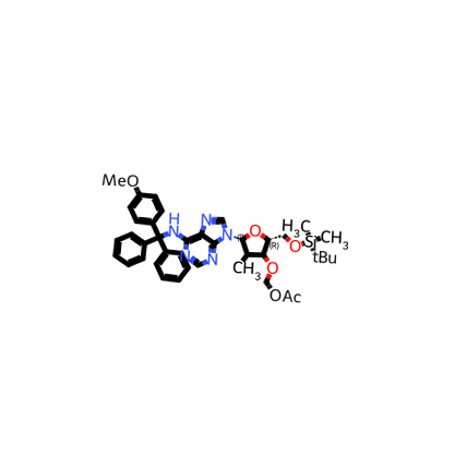 COc1ccc(C(Nc2ncnc3c2ncn3[C@@H]2O[C@H](CO[Si](C)(C)C(C)(C)C)C(OCOC(C)=O)C2C)(c2ccccc2)c2ccccc2)cc1